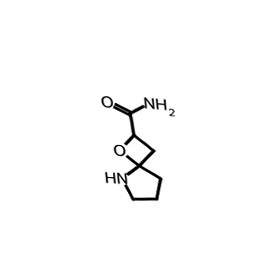 NC(=O)C1CC2(CCCN2)O1